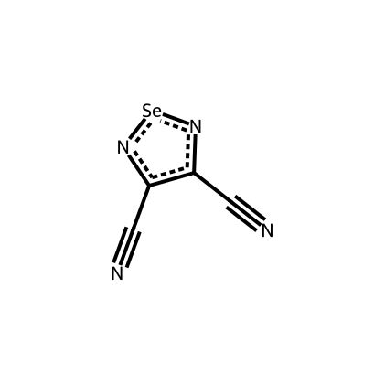 N#Cc1n[se]nc1C#N